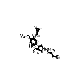 COc1ccc([C@@H]2CN(NCC(=O)CC(C)C)C[C@@]2(C)[C@@H](C)O)cc1OCC1CC1